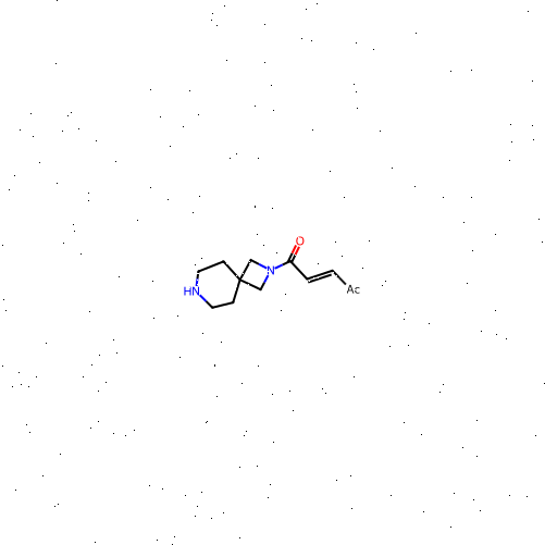 CC(=O)C=CC(=O)N1CC2(CCNCC2)C1